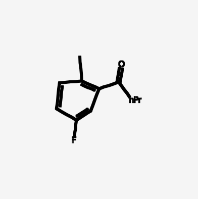 CCCC(=O)c1cc(F)ccc1C